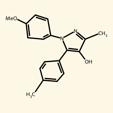 COc1ccc(-n2nc(C)c(O)c2-c2ccc(C)cc2)cc1